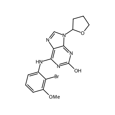 COc1cccc(Nc2nc(O)nc3c2ncn3C2CCCO2)c1Br